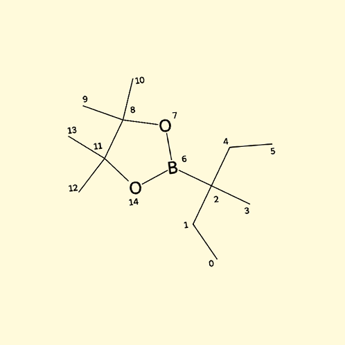 CCC(C)(CC)B1OC(C)(C)C(C)(C)O1